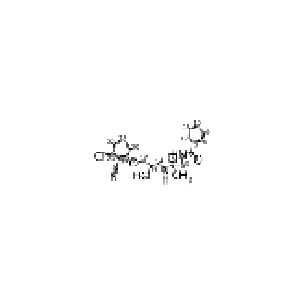 CC(C)(CNC(=O)c1ccccc1)NCC(O)COc1cccc(Cl)c1C#N